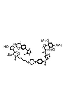 COc1cc(OC)c(Cl)c(NC(=O)N(C)c2cc(Nc3ccc(N4CCN(CCCCCC(=O)N[C@H](C(=O)N5C[C@H](O)C[C@H]5C(=O)N[C@H](C)c5ccc(-c6scnc6C)cc5)C(C)(C)C)CC4)cc3)ncn2)c1Cl